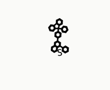 c1ccc(C2(c3ccc(-c4cc5c6c(cccc6c4)Sc4ccccc4-5)cc3)c3ccccc3-c3ccccc32)cc1